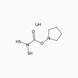 O=C(ON1CCCC1)N(S)S.[LiH]